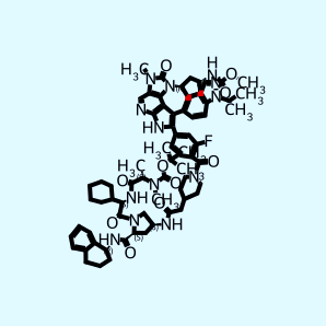 COC(=O)N[C@@H]1CC[C@@H](n2c(=O)n(C)c3cnc4[nH]c(-c5ccc(C(=O)N6CCC(CC(=O)N[C@H]7C[C@@H](C(=O)N[C@@H]8CCCc9ccccc98)N(C(=O)[C@@H](NC(=O)[C@H](C)N(C)C(=O)OC(C)(C)C)C8CCCCC8)C7)CC6)c(F)c5)c(-c5ccc6c(cnn6C(C)C)c5)c4c32)C1